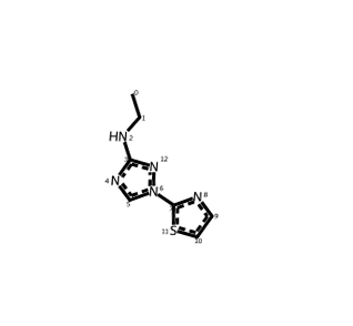 CCNc1ncn(-c2nccs2)n1